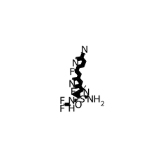 C[C@]1(c2cc(/C=C(\F)c3ccc(C#N)cn3)cnc2F)N=C(N)S[C@@]2(C(=O)NCC(F)F)CC21